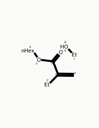 C=C(CC)C(=O)OCCCCCC.[CH2]CO